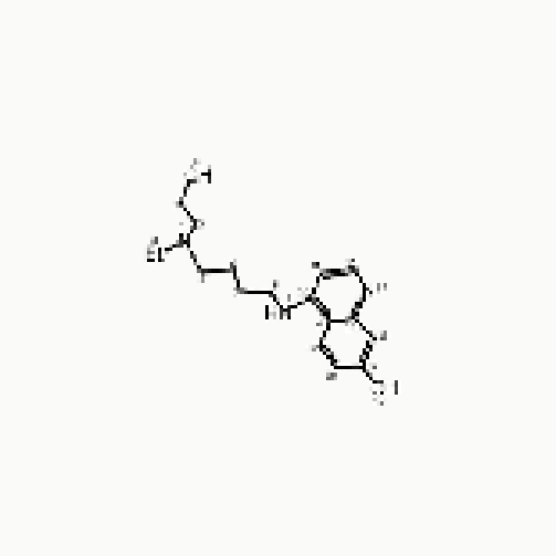 CCN(CCO)CCCCNc1ccnc2cc(O)ccc12